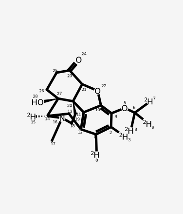 [2H]c1c([2H])c(OC([2H])([2H])[2H])c2c3c1C[C@@]1([2H])N(C)CC[C@@]34C(O2)C(=O)CC[C@]41O